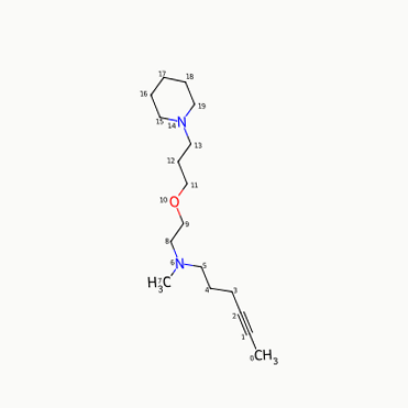 CC#CCCCN(C)CCOCCCN1CCCCC1